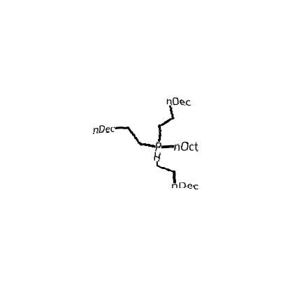 CCCCCCCCCCCC[PH](CCCCCCCC)(CCCCCCCCCCCC)CCCCCCCCCCCC